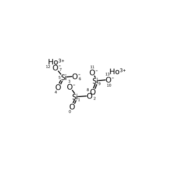 O=[Si]([O-])[O-].O=[Si]([O-])[O-].O=[Si]([O-])[O-].[Ho+3].[Ho+3]